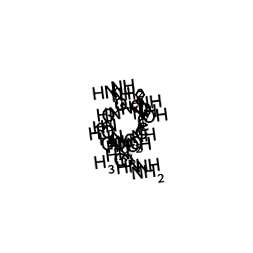 CC(=O)N[C@@H](CCCNC(=N)N)C(O)N[C@H]1CC(=O)NCCCC[C@@H](C(=O)O)NC(=O)[C@H](Cc2c[nH]c3ccccc23)NC(=O)[C@H](CCCNC(=N)N)NC(=O)[C@@H](Cc2ccccc2)NC(O)[C@H](CC(N)=O)NC1=O